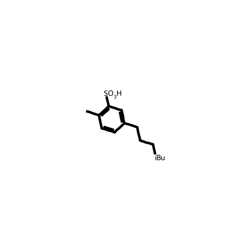 CCC(C)CCCc1ccc(C)c(S(=O)(=O)O)c1